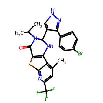 Cc1cc(C(F)(F)F)nc2sc3c(c12)NC(c1c[nH]nc1-c1ccc(Br)cc1)N(C(C)C)C3=O